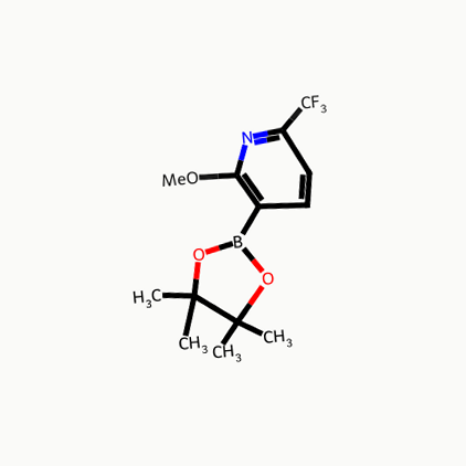 COc1nc(C(F)(F)F)ccc1B1OC(C)(C)C(C)(C)O1